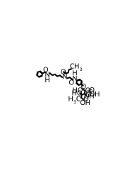 CCCCC(=O)N(CCCCCCNC(=O)c1ccccc1)CCC(=O)Nc1ccc(OC(O)C(OS(=O)(=O)O)C(O)C(O)C(C)C(=O)O)cc1